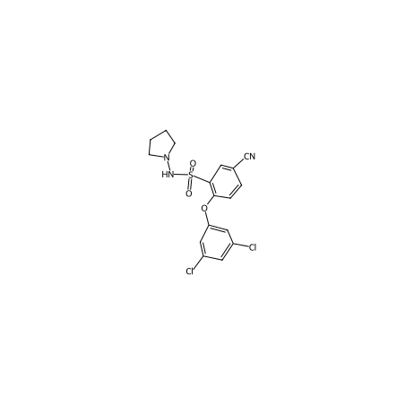 N#Cc1ccc(Oc2cc(Cl)cc(Cl)c2)c(S(=O)(=O)NN2CCCC2)c1